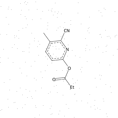 CCC(=O)Oc1ccc(C)c(C#N)n1